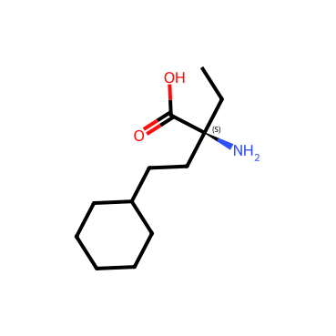 CC[C@](N)(CCC1CCCCC1)C(=O)O